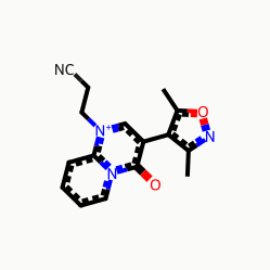 Cc1noc(C)c1-c1c[n+](CCC#N)c2ccccn2c1=O